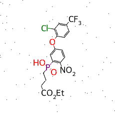 CCOC(=O)CCCP(=O)(O)c1cc(Oc2ccc(C(F)(F)F)cc2Cl)ccc1[N+](=O)[O-]